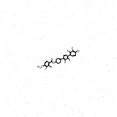 CCc1ccc(-c2ccc(C3=CCC(OC(=O)c4ccc(C)c(F)c4F)CC3)c(F)c2F)c(F)c1F